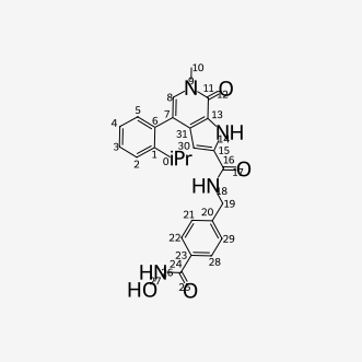 CC(C)c1ccccc1-c1cn(C)c(=O)c2[nH]c(C(=O)NCc3ccc(C(=O)NO)cc3)cc12